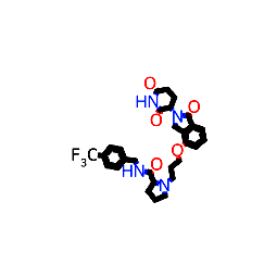 O=C1CCC(N2Cc3c(OCCCN4CCCC4C(=O)NCc4ccc(C(F)(F)F)cc4)cccc3C2=O)C(=O)N1